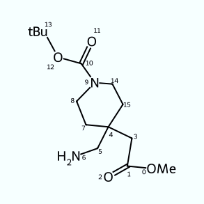 COC(=O)CC1(CN)CCN(C(=O)OC(C)(C)C)CC1